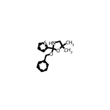 CC1(C)CNC(OCc2ccccc2)(c2cccs2)O1